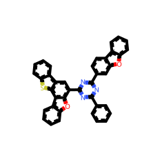 c1ccc(-c2nc(-c3ccc4c(c3)oc3ccccc34)nc(-c3cc4c5ccccc5sc4c4c3oc3ccccc34)n2)cc1